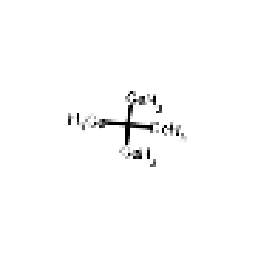 [GeH3][C]([GeH3])([GeH3])[GeH3]